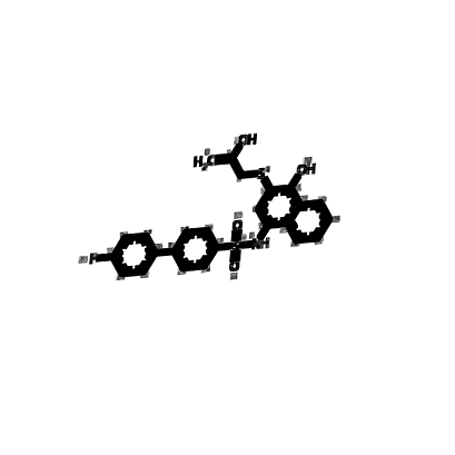 C=C(O)CSc1cc(NS(=O)(=O)c2ccc(-c3ccc(F)cc3)cc2)c2ccccc2c1O